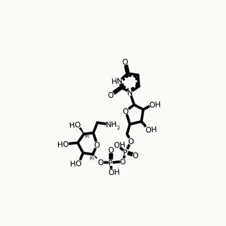 NCC1O[C@H](OP(=O)(O)OP(=O)(O)OCC2OC(n3ccc(=O)[nH]c3=O)C(O)C2O)C(O)C(O)[C@H]1O